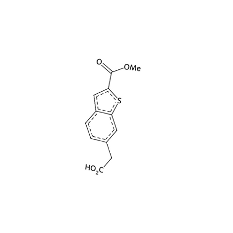 COC(=O)c1cc2ccc(CC(=O)O)cc2s1